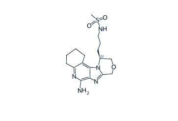 CS(=O)(=O)NCCC[C@H]1COCc2nc3c(N)nc4c(c3n21)CCCC4